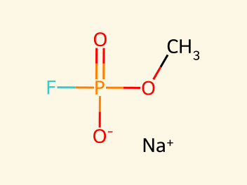 COP(=O)([O-])F.[Na+]